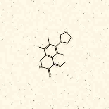 C/C=C1/C(=O)NCc2c(C)c(C)c(N3CCCC3)c(C)c21